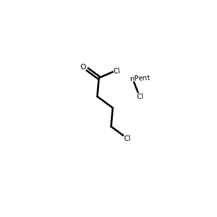 CCCCCCl.O=C(Cl)CCCCl